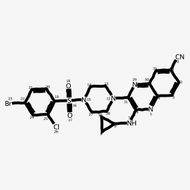 N#Cc1ccc2nc(NC3CC3)c(N3CCN(S(=O)(=O)c4ccc(Br)cc4Cl)CC3)nc2c1